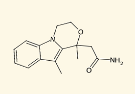 Cc1c2n(c3ccccc13)CCOC2(C)CC(N)=O